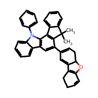 CC1(C)c2ccccc2-c2c1c(C1=CCC3OC4=C(CCC=C4)C3=C1)cc1c3ccccc3n(-c3ccccc3)c21